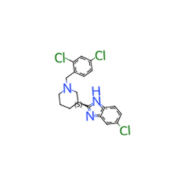 Clc1ccc(CN2CCC[C@H](c3nc4cc(Cl)ccc4[nH]3)C2)c(Cl)c1